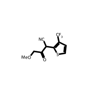 COCC(=O)C(C#N)c1sccc1C(F)(F)F